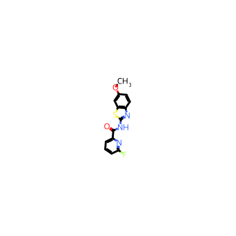 COc1ccc2nc(NC(=O)c3cccc(F)n3)sc2c1